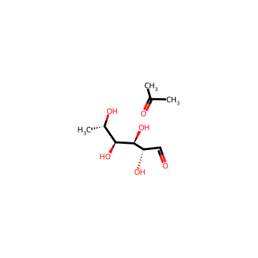 CC(C)=O.C[C@H](O)[C@H](O)[C@@H](O)[C@@H](O)C=O